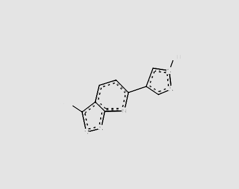 Cn1cc(-c2ccc3c(C(=O)O)n[nH]c3n2)cn1